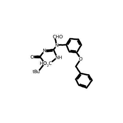 CC(C)(C)OC(=O)N=C(NC(=O)O)N(C=O)c1cccc(OCc2ccccc2)c1